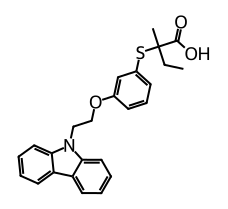 CCC(C)(Sc1cccc(OCCn2c3ccccc3c3ccccc32)c1)C(=O)O